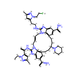 C=C(N)c1cc2c3c(c1)nc(NCCc1cc(C)nn1CCF)n3C/C=C/Cn1c(NC(=C)c3cc(C)nn3CC)nc3cc(C(=C)N)cc(c31)CCC(N1CCCCC1)CC2